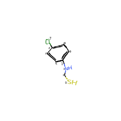 SCNc1ccc(Cl)cc1